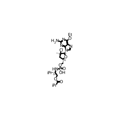 CCOc1nc(N)nc2c1ncn2[C@@H]1O[C@H](CO[P@@](=O)(O)N[C@H](COC(=O)C(C)C)C(C)C)C[C@@]1(C)Cl